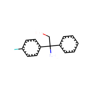 NC(CO)(c1ccccc1)c1ccc(F)cc1